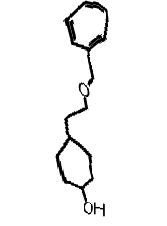 OC1CCC(CCOCc2ccccc2)CC1